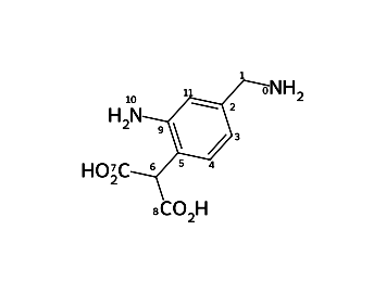 NCc1ccc(C(C(=O)O)C(=O)O)c(N)c1